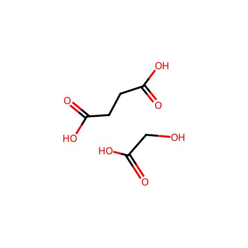 O=C(O)CCC(=O)O.O=C(O)CO